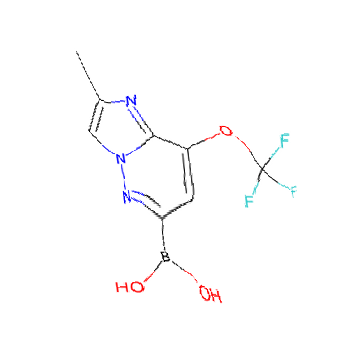 Cc1cn2nc(B(O)O)cc(OC(F)(F)F)c2n1